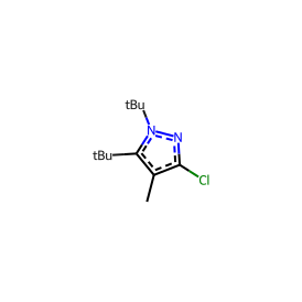 Cc1c(Cl)nn(C(C)(C)C)c1C(C)(C)C